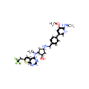 CNc1ncc(-c2ccc(CN[C@H]3C[C@@H](O)[C@@H](N(C)c4ncnc5sc(CC(F)(F)F)cc45)C3)cc2)cc1OC